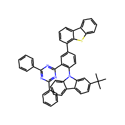 CC(C)(C)c1ccc2c3ccccc3n(-c3ccc(-c4cccc5c4sc4ccccc45)cc3-c3nc(-c4ccccc4)nc(-c4ccccc4)n3)c2c1